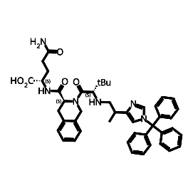 CC(CN[C@H](C(=O)N1Cc2ccccc2C[C@H]1C(=O)N[C@@H](CCC(N)=O)C(=O)O)C(C)(C)C)c1cn(C(c2ccccc2)(c2ccccc2)c2ccccc2)cn1